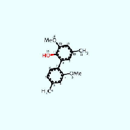 COc1cc(C)ccc1-c1cc(C)cc(OC)c1O